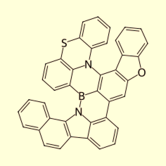 c1ccc2c(c1)Sc1cccc3c1N2c1c2c(cc4oc5ccccc5c14)-c1cccc4c5ccc6ccccc6c5n(c14)B32